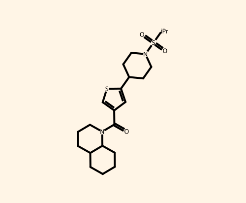 CC(C)S(=O)(=O)N1CCC(c2cc(C(=O)N3CCCC4CCCCC43)cs2)CC1